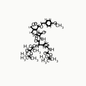 COc1ccc(COC(=O)C2=C(CCl)CS[C@@H]3[C@H](NC(=O)/C(=N\OC(C)(C)C(=O)OC(C)(C)C)c4csc(NC(=O)OC(C)(C)C)n4)C(=O)N23)cc1